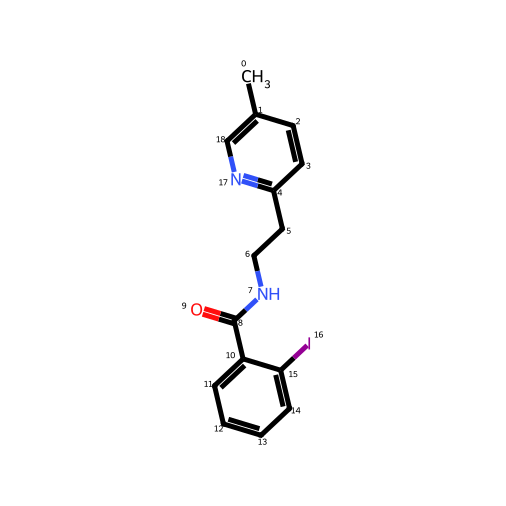 Cc1ccc(CCNC(=O)c2ccccc2I)nc1